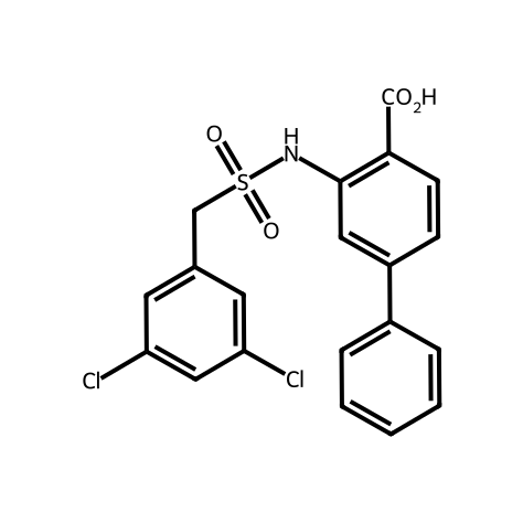 O=C(O)c1ccc(-c2ccccc2)cc1NS(=O)(=O)Cc1cc(Cl)cc(Cl)c1